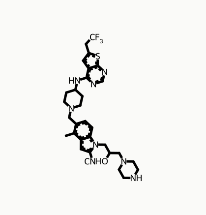 Cc1c(CN2CCC(Nc3ncnc4sc(CC(F)(F)F)cc34)CC2)ccc2c1cc(C#N)n2CC(O)CN1CCNCC1